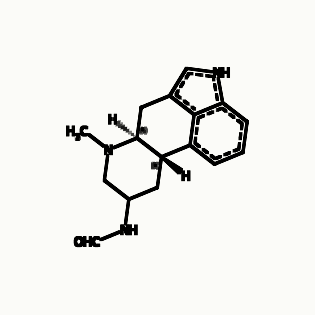 CN1CC(NC=O)C[C@H]2c3cccc4[nH]cc(c34)C[C@@H]21